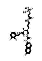 COP(=O)(O)OCC(=O)NCCC[C@@H](COC(=O)Nc1cc2cc(F)ccc2cn1)N(C)C(=O)NCc1cccc(F)c1Cl